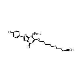 C#CCCCCCCCCCOc1cc(=O)n2cc(-c3ccc(Cl)cc3)nc2n1CCCCC